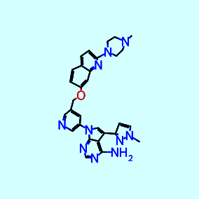 CN1CCN(c2ccc3ccc(OCc4cncc(-n5cc(-c6ccn(C)n6)c6c(N)ncnc65)c4)cc3n2)CC1